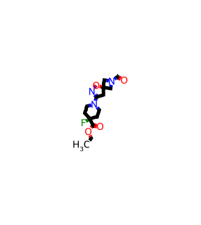 CCOC(=O)C1(F)CCN(C2=NOC3(C2)CN([C]=O)C3)CC1